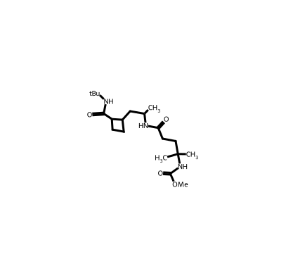 COC(=O)NC(C)(C)CCC(=O)NC(C)CC1CCC1C(=O)NC(C)(C)C